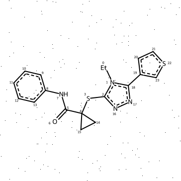 CCn1c(SC2(C(=O)Nc3ccccc3)CC2)nnc1-c1ccsc1